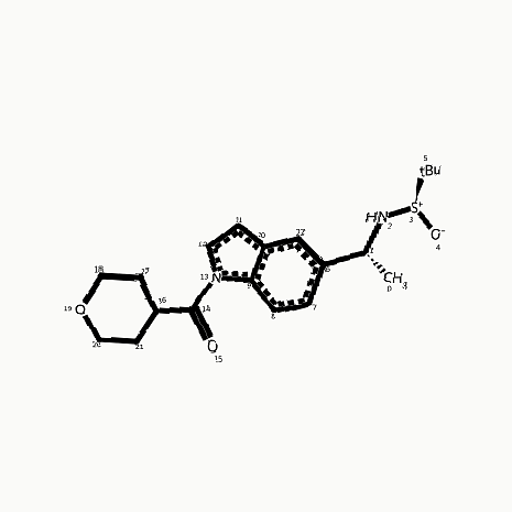 C[C@@H](N[S@+]([O-])C(C)(C)C)c1ccc2c(ccn2C(=O)C2CCOCC2)c1